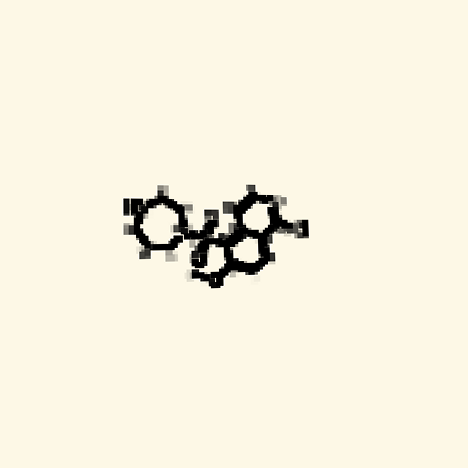 COc1ccc2c(Cl)nccc2c1S(=O)(=O)N1CCCNCC1